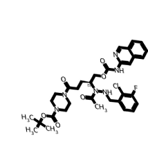 CC(=O)N(NCc1cccc(F)c1Cl)[C@@H](CCC(=O)N1CCN(C(=O)OC(C)(C)C)CC1)COC(=O)Nc1cc2ccccc2cn1